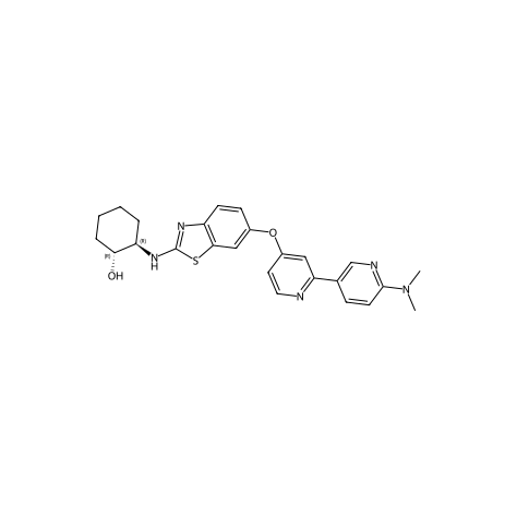 CN(C)c1ccc(-c2cc(Oc3ccc4nc(N[C@@H]5CCCC[C@H]5O)sc4c3)ccn2)cn1